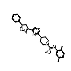 COC(=Nc1cc(C)ccc1C)N1CCC(c2nc(C3=NOC(c4ccccc4)C3)cs2)CC1